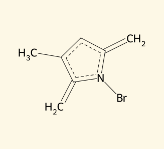 C=c1cc(C)c(=C)n1Br